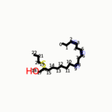 CC/C=C\C/C=C\C/C=C\CCCCCCC(CO)SCCC